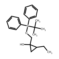 CCC1CC1(O)CO[Si](c1ccccc1)(c1ccccc1)C(C)(C)C